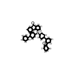 O=C1c2ccccc2-c2c1cccc2N(C1=CC=C(c2cccc3c2oc2ccccc23)CC1)c1ccc(-c2ccccc2)cc1